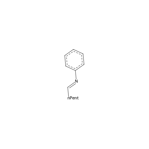 CCCCCC=Nc1ccccc1